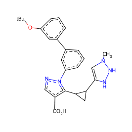 CN1C=C(C2CC2c2c(C(=O)O)cnn2-c2cccc(-c3cccc(OC(C)(C)C)c3)c2)NN1